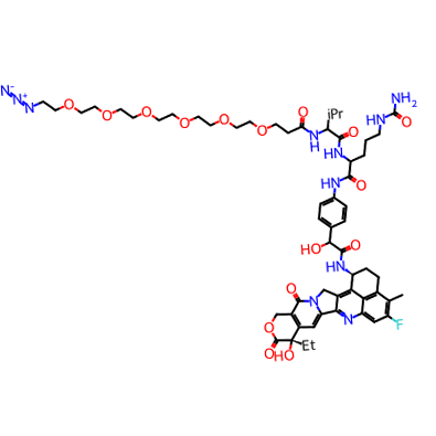 CC[C@@]1(O)C(=O)OCc2c1cc1n(c2=O)Cc2c-1nc1cc(F)c(C)c3c1c2[C@@H](NC(=O)C(O)c1ccc(NC(=O)C(CCCNC(N)=O)NC(=O)C(NC(=O)CCOCCOCCOCCOCCOCCOCCN=[N+]=[N-])C(C)C)cc1)CC3